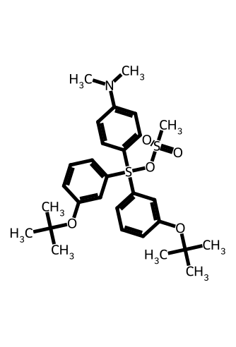 CN(C)c1ccc(S(OS(C)(=O)=O)(c2cccc(OC(C)(C)C)c2)c2cccc(OC(C)(C)C)c2)cc1